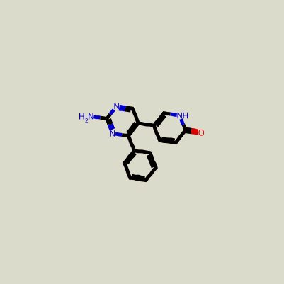 Nc1ncc(-c2ccc(=O)[nH]c2)c(-c2ccccc2)n1